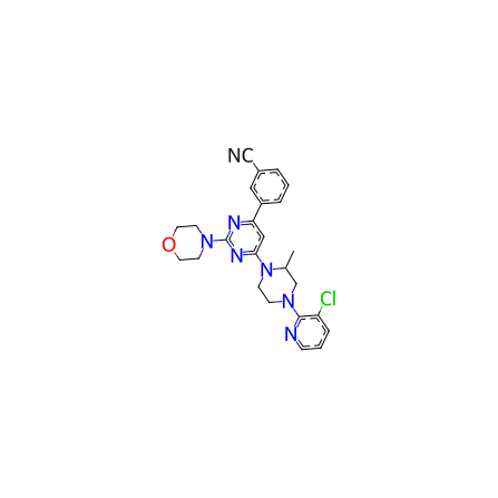 CC1CN(c2ncccc2Cl)CCN1c1cc(-c2cccc(C#N)c2)nc(N2CCOCC2)n1